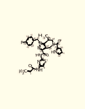 C=CC(=O)Nc1csc(NC(=O)c2nn(Cc3ccc(F)cc3)c3c2CN(C(=O)c2ccc[nH]2)CC3C)n1